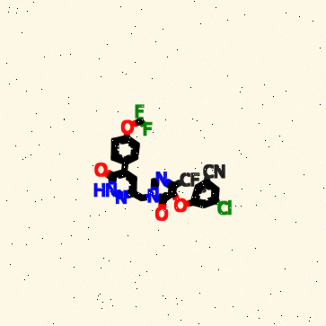 N#Cc1cc(Cl)cc(Oc2c(C(F)(F)F)ncn(Cc3cc(-c4ccc(OC(F)F)cc4)c(=O)[nH]n3)c2=O)c1